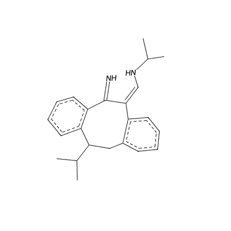 CC(C)N/C=C1\C(=N)c2ccccc2C(C(C)C)Cc2ccccc21